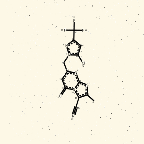 Cc1sc2nc(Cn3nc(C(F)(F)F)cc3Cl)cc(=O)n2c1C#N